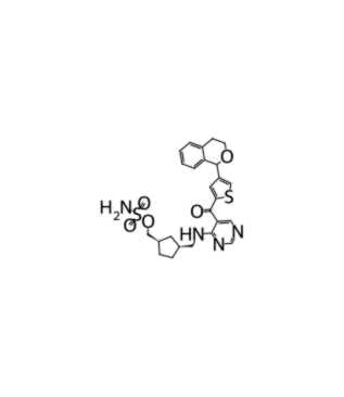 NS(=O)(=O)OC[C@@H]1CC[C@H](CNc2ncncc2C(=O)c2cc(C3OCCc4ccccc43)cs2)C1